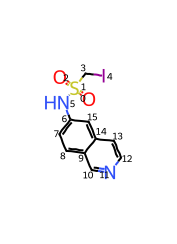 O=S(=O)(CI)Nc1ccc2cnccc2c1